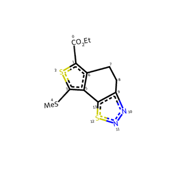 CCOC(=O)c1sc(SC)c2c1CCc1nnsc1-2